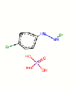 BrNNc1ccc(Br)cc1.O=P(O)(O)O